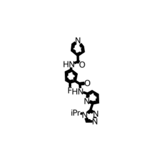 CC(C)n1cnnc1-c1cccc(NC(=O)c2cc(NC(=O)c3ccncc3)ccc2F)n1